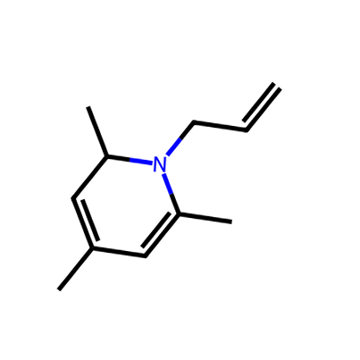 C=CCN1C(C)=CC(C)=CC1C